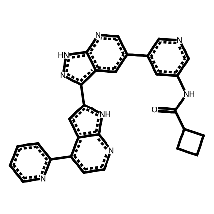 O=C(Nc1cncc(-c2cnc3[nH]nc(-c4cc5c(-c6ccccn6)ccnc5[nH]4)c3c2)c1)C1CCC1